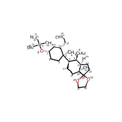 CC(=O)O[C@@H]1[C@H]([C@@]2(C)CC[C@H](O[Si](C)(C)C(C)(C)C)C[C@@H]2CC=O)CC[C@@]2(C)[C@@H]1CCC21OCCO1